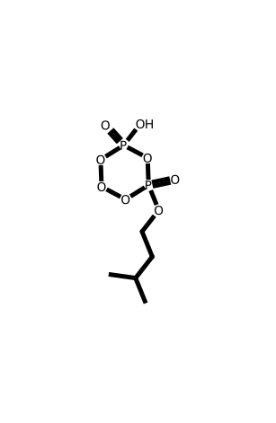 CC(C)CCOP1(=O)OOOP(=O)(O)O1